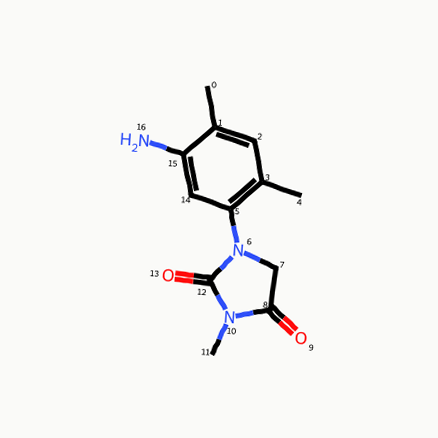 Cc1cc(C)c(N2CC(=O)N(C)C2=O)cc1N